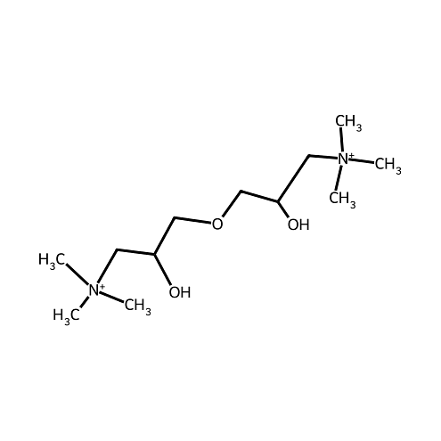 C[N+](C)(C)CC(O)COCC(O)C[N+](C)(C)C